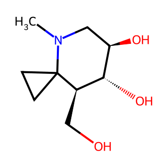 CN1C[C@@H](O)[C@H](O)[C@@H](CO)C12CC2